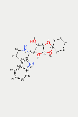 OC1C2OC3(CCCCC3)OC2OC1C1NCCc2c1[nH]c1ccccc21